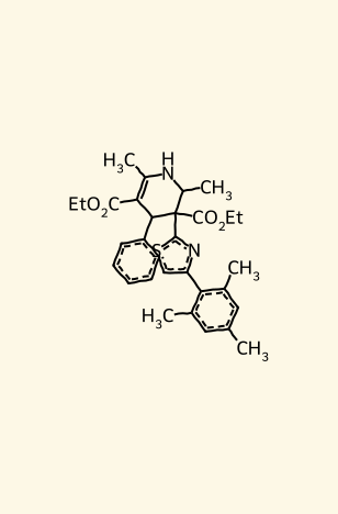 CCOC(=O)C1=C(C)NC(C)C(C(=O)OCC)(c2nc(-c3c(C)cc(C)cc3C)cs2)C1c1ccccc1